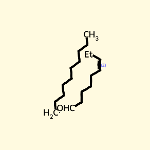 CC/C=C\CCCCC=O.[CH2]CCCCCCCCC